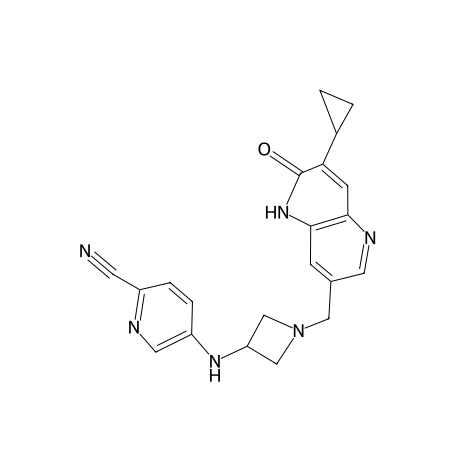 N#Cc1ccc(NC2CN(Cc3cnc4cc(C5CC5)c(=O)[nH]c4c3)C2)cn1